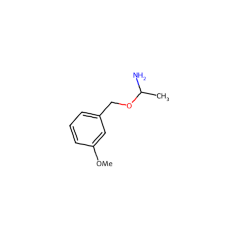 COc1cccc(COC(C)N)c1